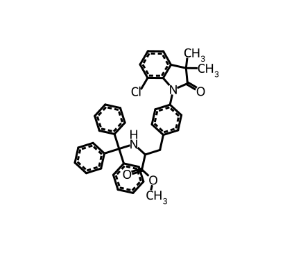 COC(=O)C(Cc1ccc(N2C(=O)C(C)(C)c3cccc(Cl)c32)cc1)NC(c1ccccc1)(c1ccccc1)c1ccccc1